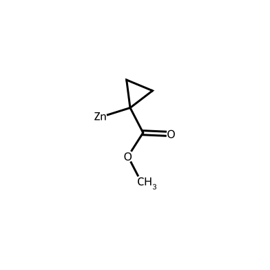 COC(=O)[C]1([Zn])CC1